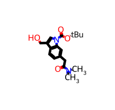 CN(C)C(=O)Cc1ccc2c(CO)cn(C(=O)OC(C)(C)C)c2c1